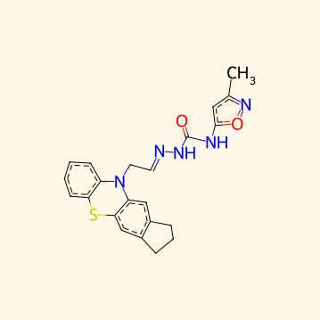 Cc1cc(NC(=O)NN=CCN2c3ccccc3Sc3cc4c(cc32)CCC4)on1